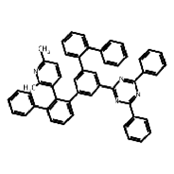 Cc1ccc(-c2c(-c3ccccc3)cccc2-c2cc(-c3nc(-c4ccccc4)nc(-c4ccccc4)n3)cc(-c3ccccc3-c3ccccc3)c2)c(C)n1